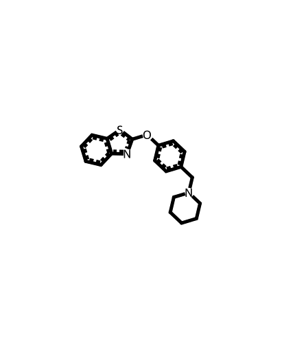 c1ccc2sc(Oc3ccc(CN4CCCCC4)cc3)nc2c1